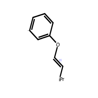 CC(C)/C=C/Oc1c[c]ccc1